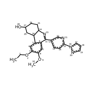 CCOc1cc2c(cc1OC)C(c1ccc(-n3cccn3)nc1)=NC1CCC(O)CC21